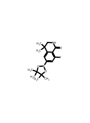 CC1(C)CNC(=O)c2c(F)cc(B3OC(C)(C)C(C)(C)O3)cc21